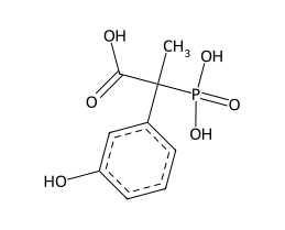 CC(C(=O)O)(c1cccc(O)c1)P(=O)(O)O